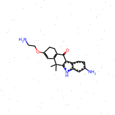 CC1(C)C2=C(CCC(OCCN)=C2)C(=O)c2c1[nH]c1cc(N)ccc21